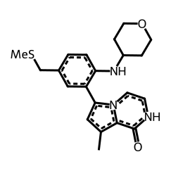 CSCc1ccc(NC2CCOCC2)c(-c2cc(C)c3c(=O)[nH]ccn23)c1